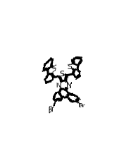 Brc1ccc2c(c1)c1cc(Br)ccc1c1nc3c(-c4cccc5c4sc4ccccc45)sc(-c4cccc5c4sc4ccccc45)c3nc21